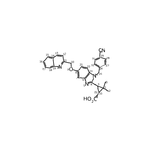 CC1(C)C(c2nc3cc(OCc4ccc5ccccc5n4)ccc3n2Cc2ccc(C#N)cc2)[C@@H]1C(=O)O